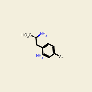 CC(=O)c1ccc(C[C@H](N)C(=O)O)cc1.N